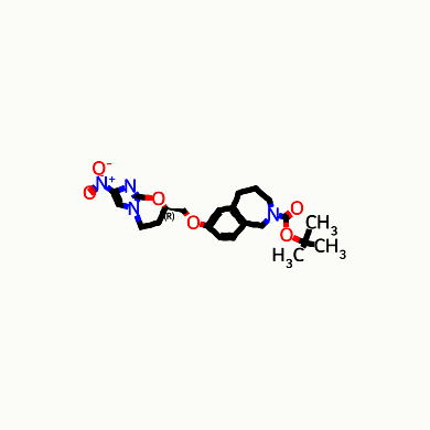 CC(C)(C)OC(=O)N1CCCc2cc(OC[C@H]3CCn4cc([N+](=O)[O-])nc4O3)ccc2C1